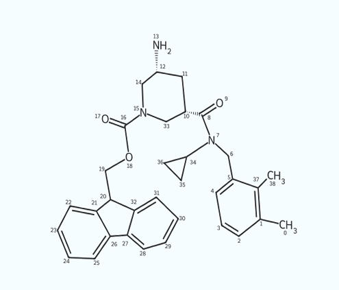 Cc1cccc(CN(C(=O)[C@H]2C[C@@H](N)CN(C(=O)OCC3c4ccccc4-c4ccccc43)C2)C2CC2)c1C